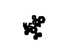 Cc1c(-c2nc3ccccc3c(=O)o2)cc([N+](=O)[O-])cc1[N+](=O)[O-]